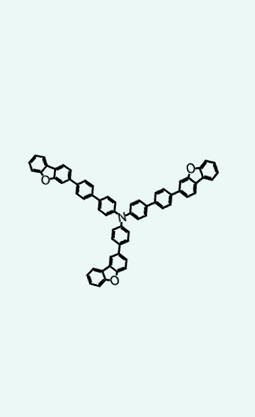 c1ccc2c(c1)oc1cc(-c3ccc(-c4ccc(N(c5ccc(-c6ccc(-c7ccc8c(c7)oc7ccccc78)cc6)cc5)c5ccc(-c6ccc7oc8ccccc8c7c6)cc5)cc4)cc3)ccc12